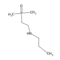 CCCNCCP(C)(C)=O